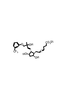 CCOC(=O)CCC=C=CC[C@@H]1[C@@H](C=CC(C)(O)COc2cccc(C(F)(F)F)c2)[C@H](O)C[C@@H]1O